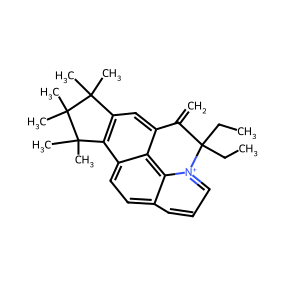 C=C1c2cc3c(c4ccc5ccc[n+](c5c24)C1(CC)CC)C(C)(C)C(C)(C)C3(C)C